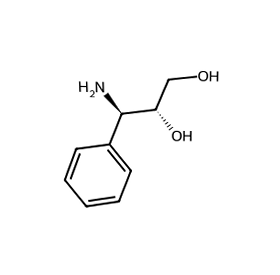 N[C@H](c1ccccc1)[C@@H](O)CO